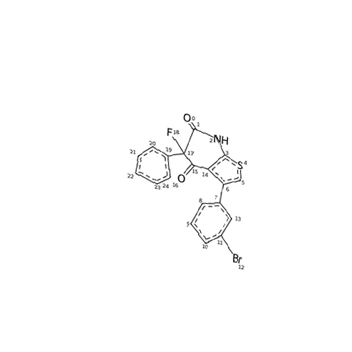 O=C1Nc2scc(-c3cccc(Br)c3)c2C(=O)C1(F)c1ccccc1